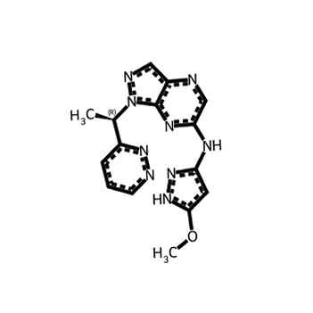 COc1cc(Nc2cnc3cnn([C@H](C)c4cccnn4)c3n2)n[nH]1